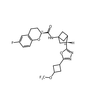 O=C(NC12CC(C1)[C@H](c1nnc(C3CC(OC(F)(F)F)C3)o1)C2)[C@@H]1CCc2cc(F)ccc2O1